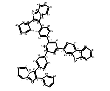 c1ccc(-c2nc3ccccn3c2-c2ccc(-c3cc(-c4ccc5c(c4)oc4ccccc45)cc(-c4ccc(-c5c(-c6ccccc6)nc6ccccn56)cc4)n3)cc2)cc1